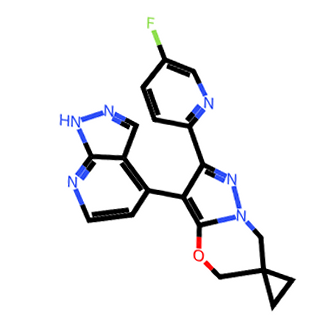 Fc1ccc(-c2nn3c(c2-c2ccnc4[nH]ncc24)OCC2(CC2)C3)nc1